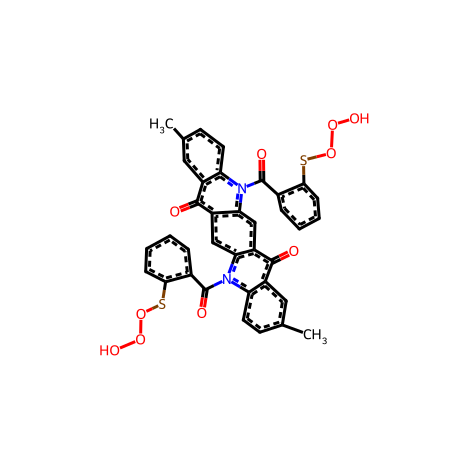 Cc1ccc2c(c1)c(=O)c1cc3c(cc1n2C(=O)c1ccccc1SOOO)c(=O)c1cc(C)ccc1n3C(=O)c1ccccc1SOOO